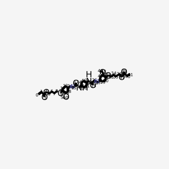 C=CC(=O)OCCCCOc1ccc(/C=C/C(=O)Nc2ccc(NC(=O)/C=C/c3ccc(OCCCCOC(=O)C=C)c(OC)c3)cc2)cc1OC